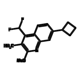 COc1nc2cc(C3CCC3)ccc2c(C(F)F)c1C(=O)O